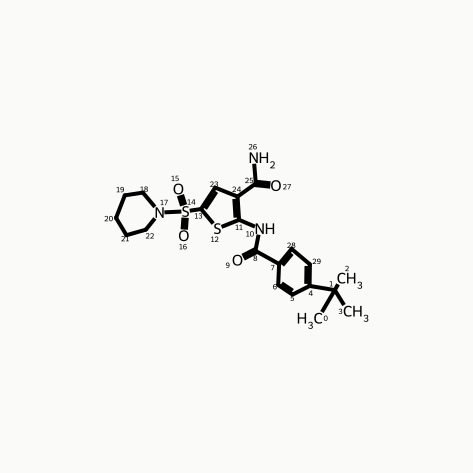 CC(C)(C)c1ccc(C(=O)Nc2sc(S(=O)(=O)N3CCCCC3)cc2C(N)=O)cc1